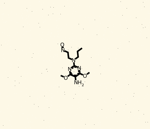 CCCN(CCN=O)c1nc(OC)c(N)c(OC)n1